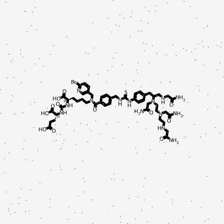 NC(=O)CNCCN(CCN(CC(N)=O)C(CNCC(N)=O)Cc1ccc(NC(=S)NCc2ccc(C(=O)N(CCCC[C@@H](NC(=O)N[C@H](CCC(=O)O)C(=O)O)C(=O)O)Cc3ccc(Br)nc3)cc2)cc1)CC(N)=O